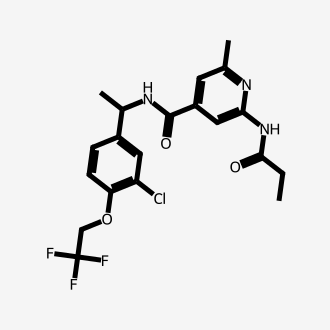 CCC(=O)Nc1cc(C(=O)NC(C)c2ccc(OCC(F)(F)F)c(Cl)c2)cc(C)n1